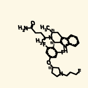 C=C(CCC(N)=O)N1[C@@H](c2c(F)cc(O[C@@H]3CCN(CCCF)C3)cc2F)c2[nH]c3ccccc3c2C[C@@H]1C